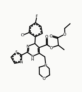 CCOC(=O)C(C)OC(=O)C1=C(CN2CCOCC2)NC(c2nccs2)=NC1c1ccc(F)cc1Cl